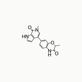 CC1Oc2cc(-c3cn(C)c(=O)c4[nH]ccc34)ccc2NC1=O